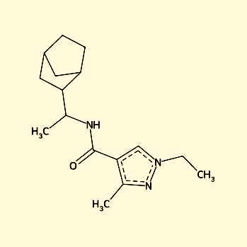 CCn1cc(C(=O)NC(C)C2CC3CCC2C3)c(C)n1